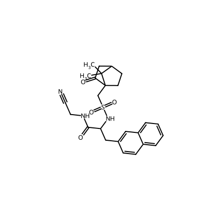 CC1(C)C2CCC1(CS(=O)(=O)NC(Cc1ccc3ccccc3c1)C(=O)NCC#N)C(=O)C2